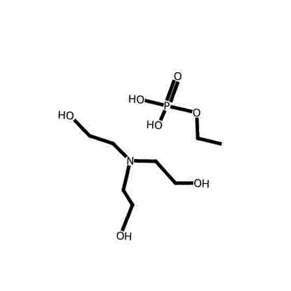 CCOP(=O)(O)O.OCCN(CCO)CCO